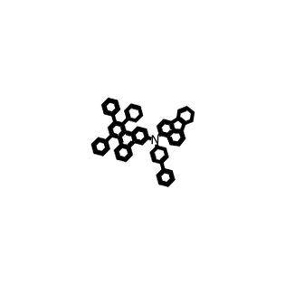 C1=CCCC(c2c(-c3ccccc3)cc(-c3ccccc3)c3c4ccccc4c4cc(N(c5ccc6c7c(cccc57)C5=C6C=CCC5)C5C=CC(c6ccccc6)=CC5)ccc4c23)=C1